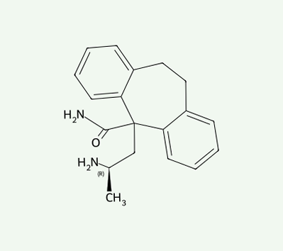 C[C@@H](N)CC1(C(N)=O)c2ccccc2CCc2ccccc21